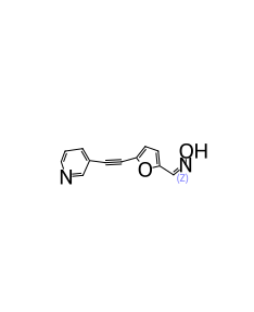 O/N=C\c1ccc(C#Cc2cccnc2)o1